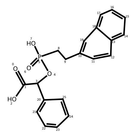 O=C(O)C(OP(=O)(O)CCc1ccc2ccccc2c1)c1ccccc1